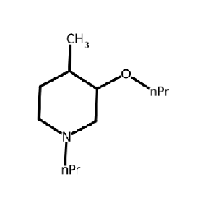 CCCOC1CN(CCC)CCC1C